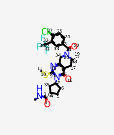 CNC(=O)[C@H]1CC[C@H](n2c(SC)nc3c(c2=O)C[C@@H](C)N(C(=O)c2ccc(Cl)c(C(F)(F)F)c2)C3)C1